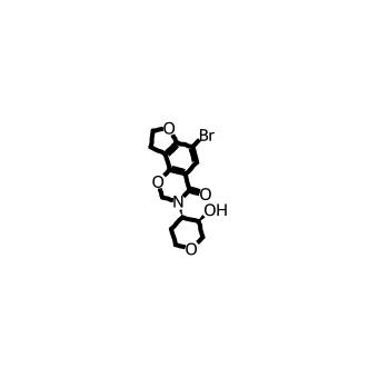 O=C1c2cc(Br)c3c(c2OCN1[C@H]1CCOC[C@@H]1O)CCO3